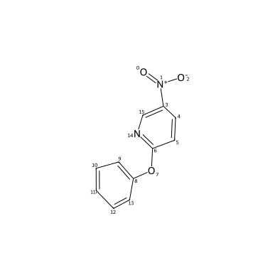 O=[N+]([O-])c1ccc(Oc2cc[c]cc2)nc1